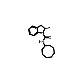 C[C@@H]1Cc2ccccc2N1C(=O)NC1CCCCCCC1